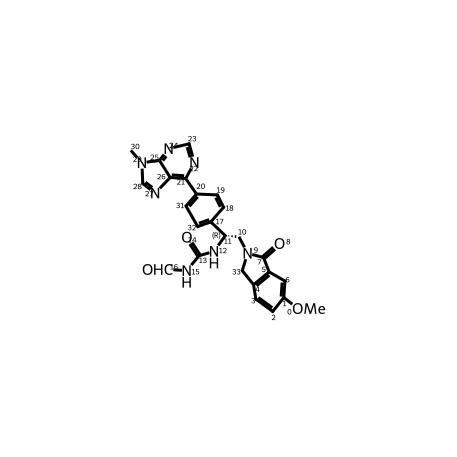 COc1ccc2c(c1)C(=O)N(C[C@H](NC(=O)NC=O)c1ccc(-c3ncnc4c3ncn4C)cc1)C2